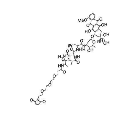 COc1cccc2c1C(=O)c1c(O)c3c(c(O)c1C2=O)C[C@@](O)(C(=N)CO)C[C@@H]3O[C@H]1C[C@H](NC(=O)C(CC(C)C)NC(=O)[C@@H](CC(N)=O)NC(=O)[C@@H](C)NC(=O)[C@@H](C)NC(=O)CCOCCOCCOCCN2C(=O)C=CC2=O)[C@H](O)[C@H](C)O1